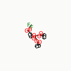 CC(F)(F)COC(=O)C12CC3CC(C1)C1(OC(COC(=O)C45CC6CC(CC(C6)C4)C5)C(COC(=O)C45CC6CC(CC(C6)C4)C5)O1)C(C3)C2